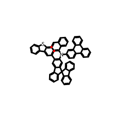 c1ccc2c(c1)-c1ccccc1C21c2ccccc2-c2cc(-c3ccc4sc5ccccc5c4c3)c(N(c3ccc4c5ccccc5c5ccccc5c4c3)c3cccc4ccccc34)cc21